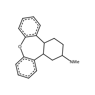 CNC1CCC2c3ccccc3Oc3ccccc3C2C1